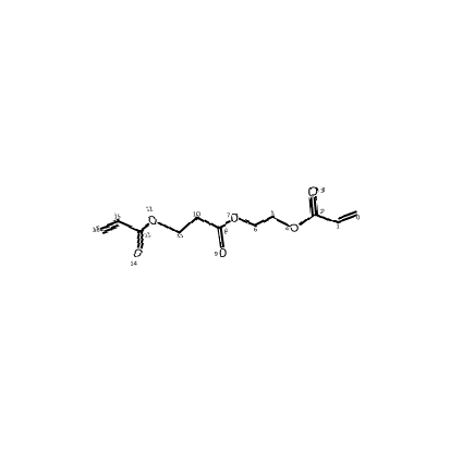 C=CC(=O)OCCOC(=O)CCOC(=O)C=C